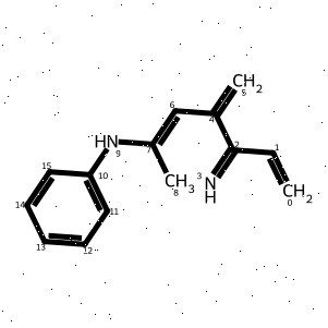 C=CC(=N)C(=C)/C=C(\C)Nc1ccccc1